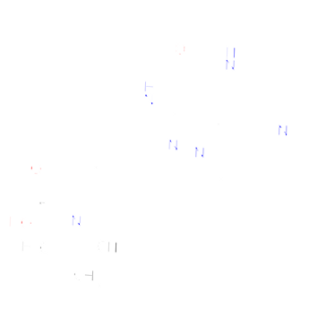 CC(C)(C)N(Cc1cc(F)cc(Nc2nn(C3CCCCC3C#N)c3cc[nH]c(=O)c23)c1)C(=O)O